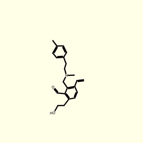 C=Cc1ccc(CCO)c(C=O)c1CN(C)CCc1ccc(C)cc1